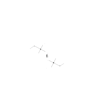 CC(=O)NC(C)(CC(=O)O)/N=N/C(C)(CC(=O)O)NC(C)=O